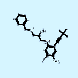 CC(C)(C)C#Cc1cc(N)c(F)cc1NCC(O)COCc1ccccc1